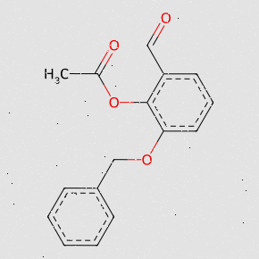 CC(=O)Oc1c(C=O)cccc1OCc1ccccc1